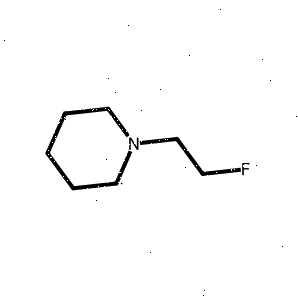 FCCN1[CH]CCCC1